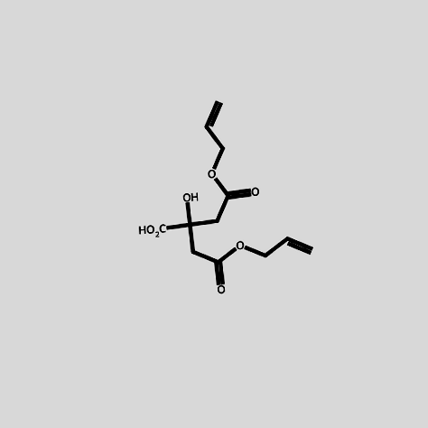 C=CCOC(=O)CC(O)(CC(=O)OCC=C)C(=O)O